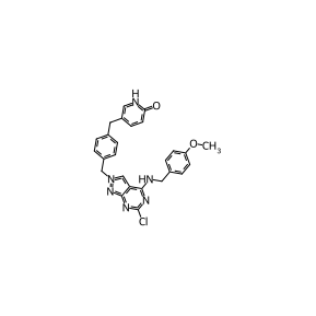 COc1ccc(CNc2nc(Cl)nc3nn(Cc4ccc(Cc5ccc(=O)[nH]c5)cc4)cc23)cc1